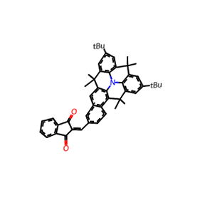 CC(C)(C)c1cc2c3c(c1)C(C)(C)c1cc4cc(C=C5C(=O)c6ccccc6C5=O)ccc4c4c1N3c1c(cc(C(C)(C)C)cc1C4(C)C)C2(C)C